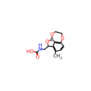 Cc1ccc2c3c1C(CNC(=O)O)OB3OCCO2